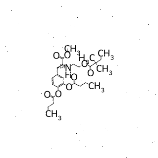 CCCC(=O)Oc1ccc(C[C@H](NCCOC(=O)C(C)(C)CC)C(=O)OC)cc1OC(=O)CCC